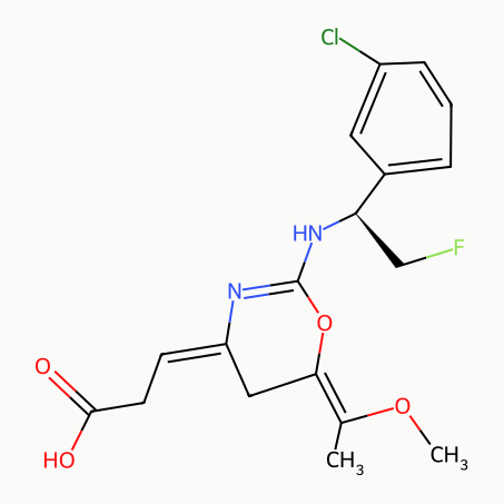 CO/C(C)=C1/C/C(=C\CC(=O)O)N=C(N[C@H](CF)c2cccc(Cl)c2)O1